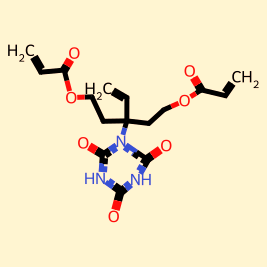 C=CC(=O)OCCC(C=C)(CCOC(=O)C=C)n1c(=O)[nH]c(=O)[nH]c1=O